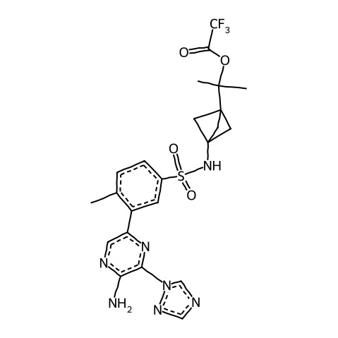 Cc1ccc(S(=O)(=O)NC23CC(C(C)(C)OC(=O)C(F)(F)F)(C2)C3)cc1-c1cnc(N)c(-n2cncn2)n1